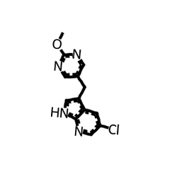 COc1ncc(Cc2c[nH]c3ncc(Cl)cc23)cn1